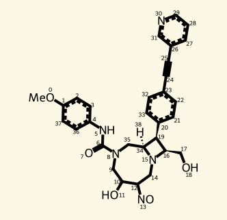 COc1ccc(NC(=O)N2CC(O)C(N=O)CN3[C@H](CO)[C@H](c4ccc(C#Cc5cccnc5)cc4)[C@@H]3C2)cc1